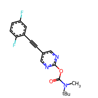 CN(C(=O)Oc1ncc(C#Cc2cc(F)ccc2F)cn1)C(C)(C)C